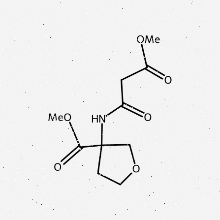 COC(=O)CC(=O)NC1(C(=O)OC)CCOC1